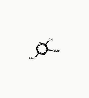 COc1cc(SC)cnc1C#N